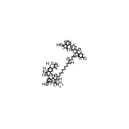 Cc1ncsc1-c1ccc([C@H](C)NC(=O)[C@@H]2C[C@@H](O)CN2C(=O)[C@@H](NC(=O)CCCCCCCCNC(=O)CCNC[C@@H](C(=O)N2CCN(c3ncnc4c3[C@H](C)C[C@H]4O)CC2)c2ccc(Cl)cc2)C(C)(C)C)cc1